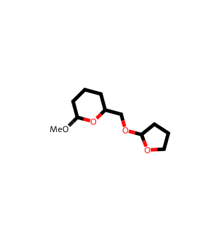 COC1CCCC(COC2CCCO2)O1